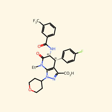 CCN1C(=O)[C@H](NC(=O)c2cccc(C(F)(F)F)c2)[C@H](c2ccc(F)cc2)c2c(C(=O)O)nn(C3CCOCC3)c21